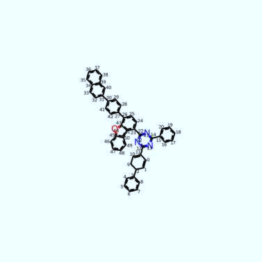 C1=CC(c2ccccc2)CC=C1c1nc(-c2ccccc2)nc(-c2ccc(-c3ccc(-c4ccc5ccccc5c4)cc3)c3oc4ccccc4c23)n1